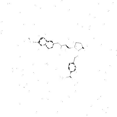 COc1ccc2cc(CC(O)/C=C/[C@H]3CCC(=O)[C@@H]3CCc3ccc(C(=O)O)cc3)ccc2c1